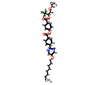 CCCCCCCCOc1cnc(-c2ccc(C(=O)Oc3ccc(C(=O)OC(COCC)C(F)(F)F)cc3)cc2)nc1